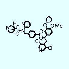 COc1ccc([C@@H](Cc2c(Cl)cncc2Cl)OC(=O)c2ccc(CN(C(=O)O[C@H]3CN4CCC3CC4)c3ccccn3)cc2)cc1OC1CCCC1